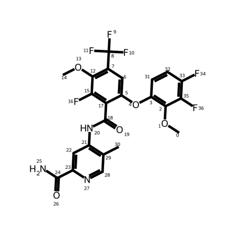 COc1c(Oc2cc(C(F)(F)F)c(OC)c(F)c2C(=O)Nc2cc(C(N)=O)ncc2C)ccc(F)c1F